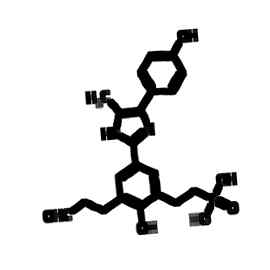 Cc1[nH]c(-c2cc(CCC=O)c(O)c(CCP(=O)(O)O)c2)nc1-c1ccc(O)cc1